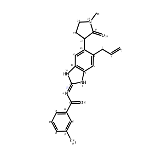 C=CCc1cc2[nH]/c(=N\C(=O)c3cccc(C(F)(F)F)c3)[nH]c2cc1C1CCN(C)C1=O